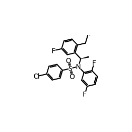 [CH2]Cc1ccc(F)cc1[C@@H](C)N(c1cc(F)ccc1F)S(=O)(=O)c1ccc(Cl)cc1